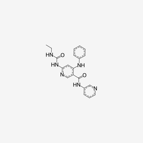 CCNC(=O)Nc1cc(Nc2ccccc2)c(C(=O)Nc2cccnc2)cn1